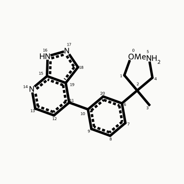 COCC(C)(CN)c1cccc(-c2ccnc3[nH]ncc23)c1